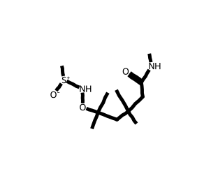 CNC(=O)CC(C)(C)CC(C)(C)ON[S+](C)[O-]